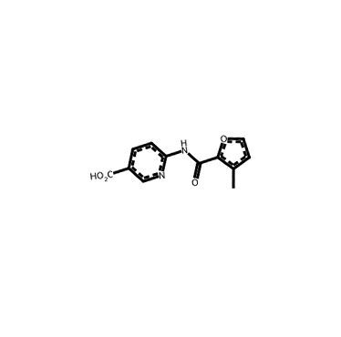 Cc1ccoc1C(=O)Nc1ccc(C(=O)O)cn1